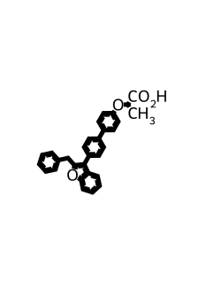 CC(Oc1ccc(-c2ccc(-c3c(Cc4ccccc4)oc4ccccc34)cc2)cc1)C(=O)O